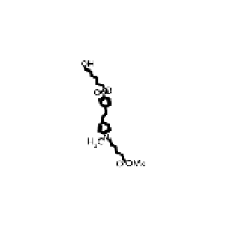 COC(=O)CCCCCN(C)c1ccc(/C=C/c2ccc(S(=O)(=O)CCCCCCO)cc2)cc1